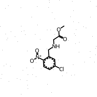 COC(=O)CNCc1cc(Cl)ccc1[N+](=O)[O-]